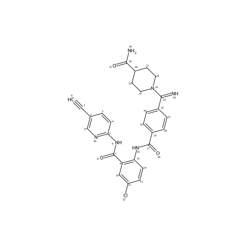 C#Cc1ccc(NC(=O)c2cc(Cl)ccc2NC(=O)c2ccc(C(=N)N3CCC(C(N)=O)CC3)cc2)nc1